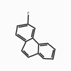 Fc1ccc2ccc3ccccc3c2c1